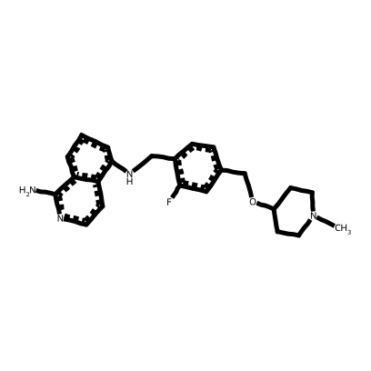 CN1CCC(OCc2ccc(CNc3cccc4c(N)nccc34)c(F)c2)CC1